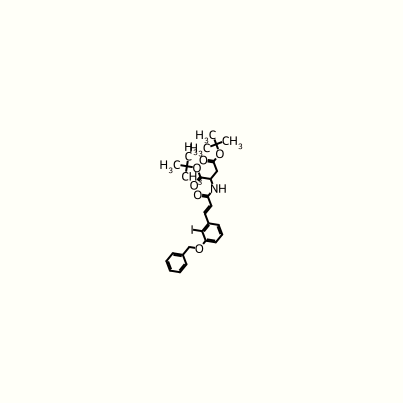 CC(C)(C)OC(=O)CC(NC(=O)/C=C/c1cccc(OCc2ccccc2)c1I)C(=O)OC(C)(C)C